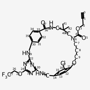 C#CCOC(=O)N1CCCOc2ccc(cc2Cl)CNc2nc(nc(OCC(F)(F)F)n2)Nc2ccc(cc2)C(=O)NCC(C)(C)C1